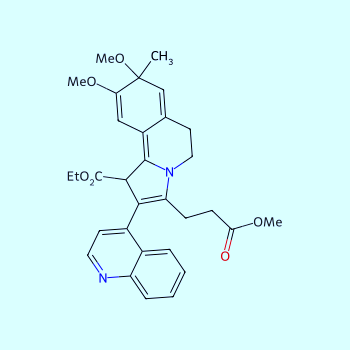 CCOC(=O)C1C(c2ccnc3ccccc23)=C(CCC(=O)OC)N2CCC3=CC(C)(OC)C(OC)=CC3=C12